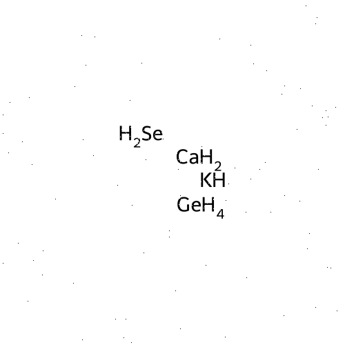 [CaH2].[GeH4].[KH].[SeH2]